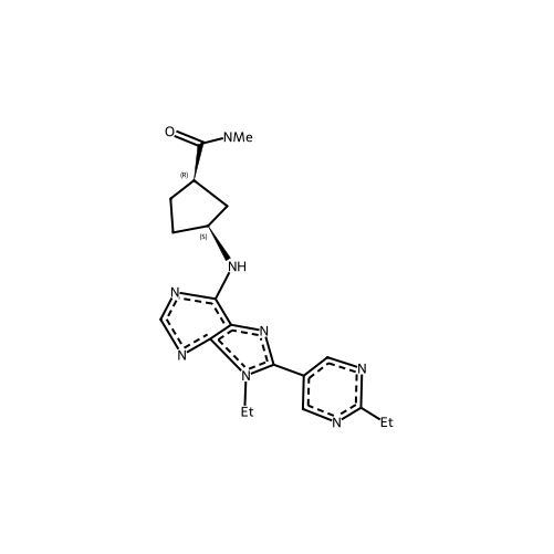 CCc1ncc(-c2nc3c(N[C@H]4CC[C@@H](C(=O)NC)C4)ncnc3n2CC)cn1